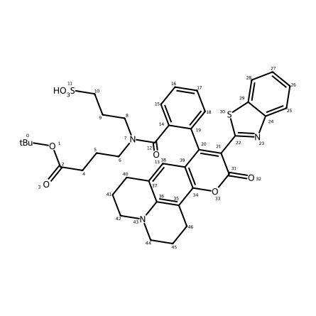 CC(C)(C)OC(=O)CCCN(CCCS(=O)(=O)O)C(=O)c1ccccc1-c1c(-c2nc3ccccc3s2)c(=O)oc2c3c4c(cc12)CCCN4CCC3